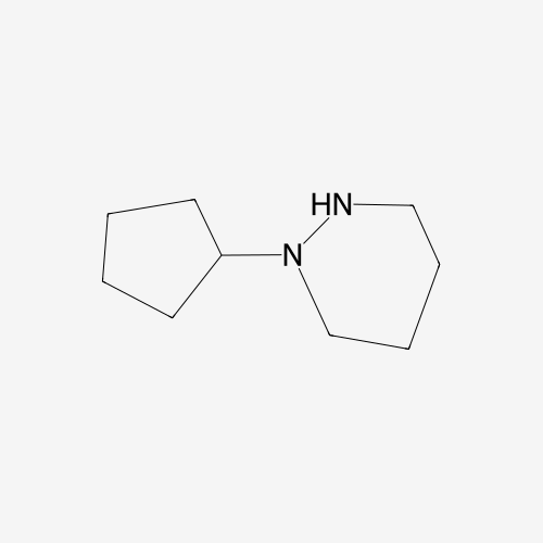 C1CCN(C2CCCC2)NC1